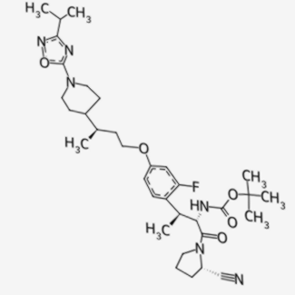 CC(C)c1noc(N2CCC([C@H](C)CCOc3ccc([C@H](C)[C@H](NC(=O)OC(C)(C)C)C(=O)N4CCC[C@H]4C#N)c(F)c3)CC2)n1